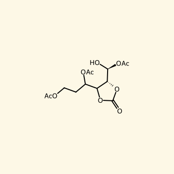 CC(=O)OCCC(OC(C)=O)C1OC(=O)O[C@H]1[C@@H](O)OC(C)=O